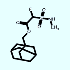 CNS(=O)(=O)C(F)C(=O)OCC12CC3CC(CC(C3)C1)C2